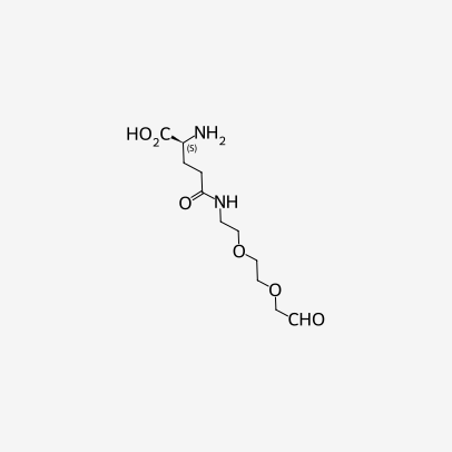 N[C@@H](CCC(=O)NCCOCCOCC=O)C(=O)O